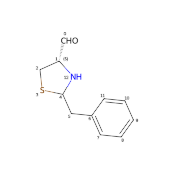 O=C[C@H]1CSC(Cc2ccccc2)N1